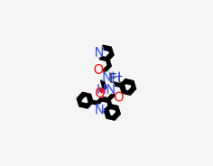 CC[C@H](NC(=O)c1c(OCCNC(=O)Cc2cccnc2)c(-c2ccccc2)nc2ccccc12)c1ccccc1